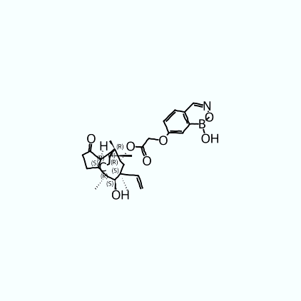 C=C[C@]1(C)C[C@@H](OC(=O)COc2ccc3c(c2)B(O)ON=C3)[C@]2(C)[C@H](C)CC[C@]3(CCC(=O)[C@H]32)[C@@H](C)[C@@H]1O